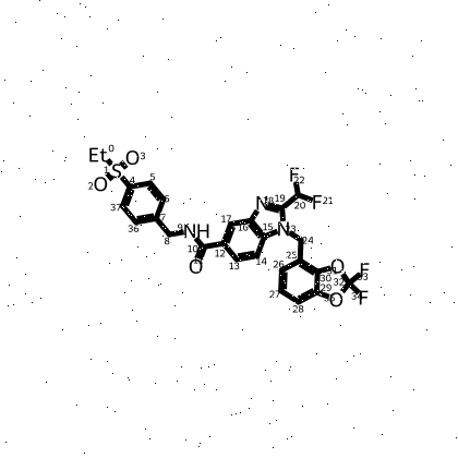 CCS(=O)(=O)c1ccc(CNC(=O)c2ccc3c(c2)nc(C(F)F)n3Cc2cccc3c2OC(F)(F)O3)cc1